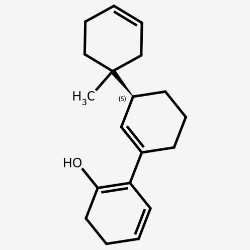 CC1([C@@H]2C=C(C3=C(O)CCC=C3)CCC2)CC=CCC1